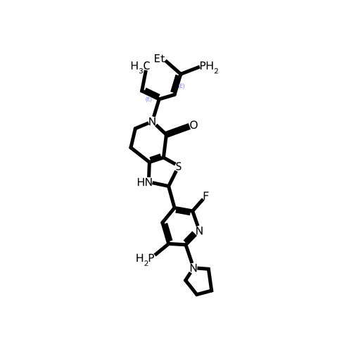 C/C=C(\C=C(\P)CC)N1CCC2=C(SC(c3cc(P)c(N4CCCC4)nc3F)N2)C1=O